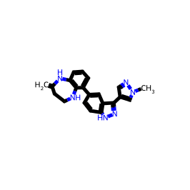 C=C1CCNc2c(cccc2-c2ccc3[nH]nc(-c4cnn(C)c4)c3c2)N1